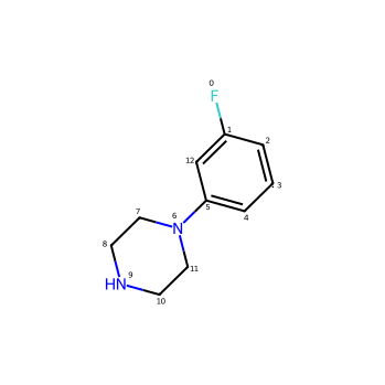 Fc1c[c]cc(N2CCNCC2)c1